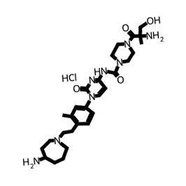 Cc1cc(-n2ccc(NC(=O)N3CCN(C(=O)C(C)(N)CO)CC3)nc2=O)ccc1CCN1CCCC(N)CC1.Cl